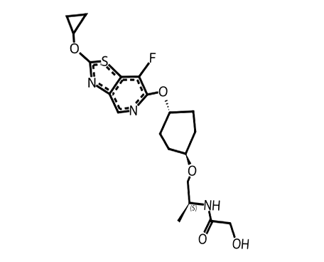 C[C@@H](CO[C@H]1CC[C@H](Oc2ncc3nc(OC4CC4)sc3c2F)CC1)NC(=O)CO